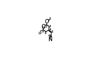 CO[C@H]1C/C(=C/C#N)C[C@@H](C)O1